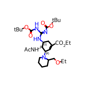 CCOCC1CCCCN1[C@@H]1C=C(C(=O)OCC)C[C@H](NC(=NC(=O)OC(C)(C)C)NC(=O)OC(C)(C)C)[C@H]1NC(C)=O